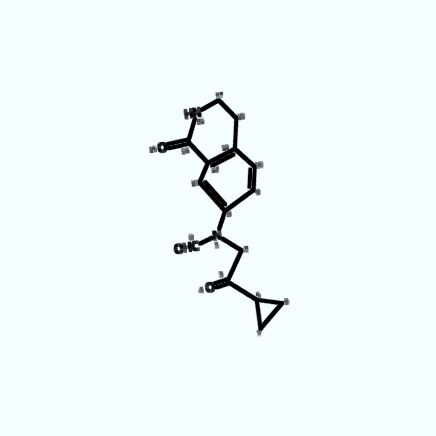 O=CN(CC(=O)C1CC1)c1ccc2c(c1)C(=O)NCC2